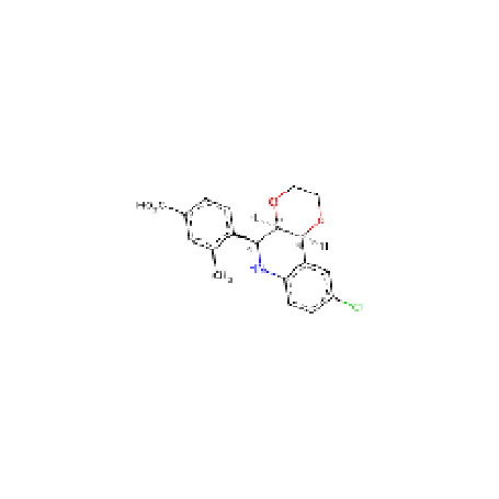 Cc1cc(C(=O)O)ccc1[C@@H]1Nc2ccc(Cl)cc2[C@@H]2OCCO[C@H]12